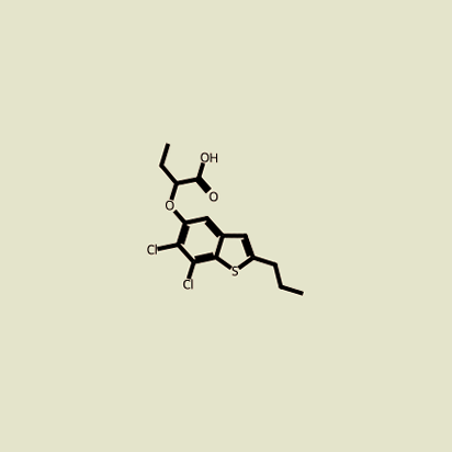 CCCc1cc2cc(OC(CC)C(=O)O)c(Cl)c(Cl)c2s1